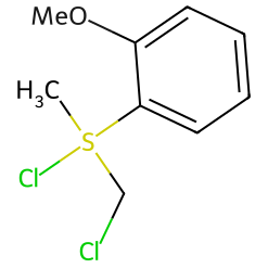 COc1ccccc1S(C)(Cl)CCl